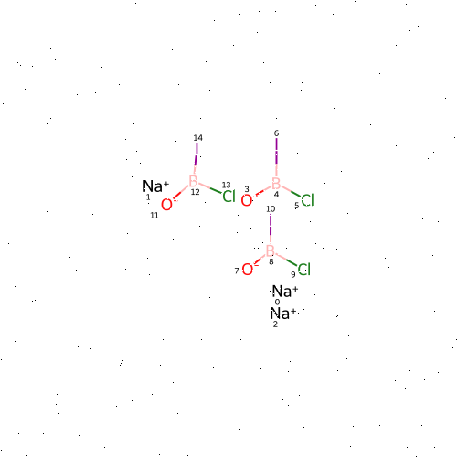 [Na+].[Na+].[Na+].[O-]B(Cl)I.[O-]B(Cl)I.[O-]B(Cl)I